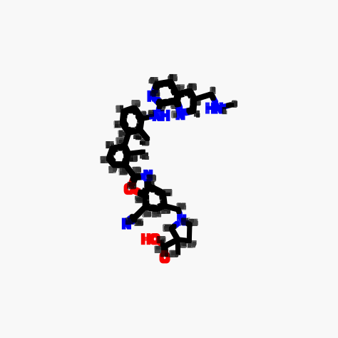 CNCc1cnc2c(Nc3cccc(-c4cccc(-c5nc6cc(CN7CCC(C)(C(=O)O)C7)cc(C#N)c6o5)c4C)c3C)nccc2c1